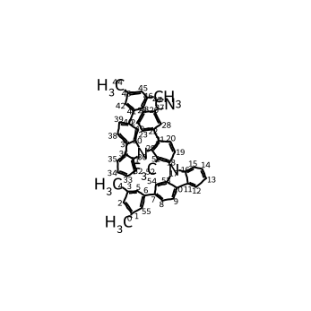 Cc1cc(C)cc(-c2ccc3c4ccccc4n(-c4ccc(-c5cccc(C#N)c5)c(-n5c6ccccc6c6ccc(-c7cc(C)cc(C)c7)cc65)c4C(F)(F)F)c3c2)c1